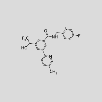 Cc1ccc(-c2cc(C(=O)NCc3ccc(F)cn3)cc(C(O)C(F)(F)F)c2)nc1